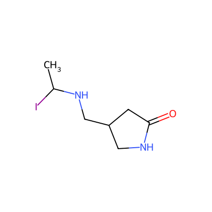 CC(I)NCC1CNC(=O)C1